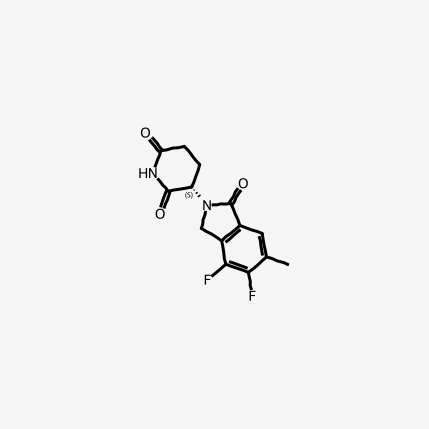 Cc1cc2c(c(F)c1F)CN([C@H]1CCC(=O)NC1=O)C2=O